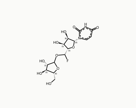 O=c1ccn([C@@H]2O[C@H](C(F)OC3O[C@H](CO)[C@@H](O)[C@@H]3O)[C@@H](O)[C@H]2O)c(=O)[nH]1